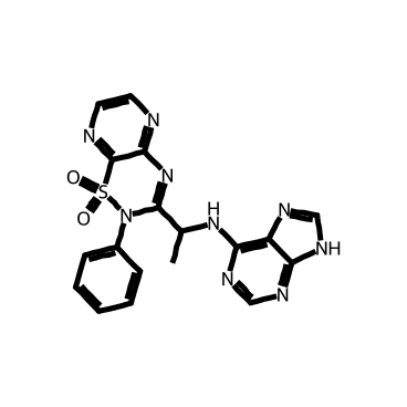 CC(Nc1ncnc2[nH]cnc12)C1=Nc2nccnc2S(=O)(=O)N1c1ccccc1